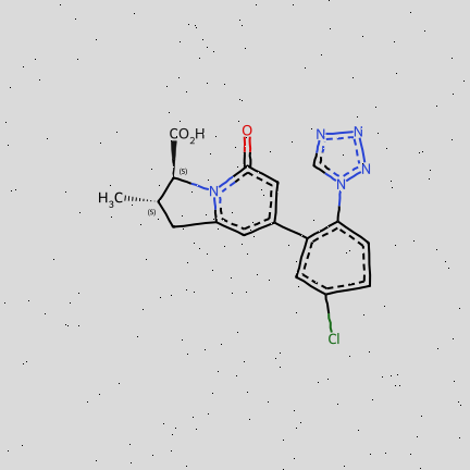 C[C@H]1Cc2cc(-c3cc(Cl)ccc3-n3cnnn3)cc(=O)n2[C@@H]1C(=O)O